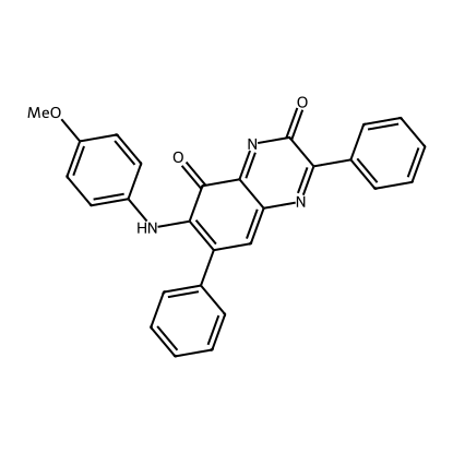 COc1ccc(NC2=C(c3ccccc3)C=C3N=C(c4ccccc4)C(=O)N=C3C2=O)cc1